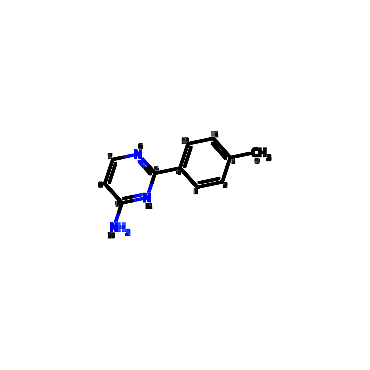 Cc1ccc(-c2nccc(N)n2)cc1